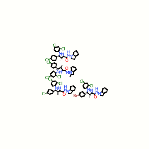 CC1C(C(=O)NN2CCc3ccccc32)=NN(c2ccc(Cl)cc2Cl)C1c1ccc(Cl)cc1.CC1Cc2ccccc2N1NC(=O)C1=NN(c2ccc(Cl)cc2Cl)[C@@H](c2ccc(Cl)cc2)[C@H]1C.C[C@H]1C(C(=O)NN2CCc3ccccc32)=NN(c2ccc(Cl)cc2Cl)[C@H]1c1ccc(Br)cc1.C[C@H]1C(C(=O)NN2CCc3ccccc32)=NN(c2ccc(Cl)cc2Cl)[C@H]1c1ccc(Cl)cc1